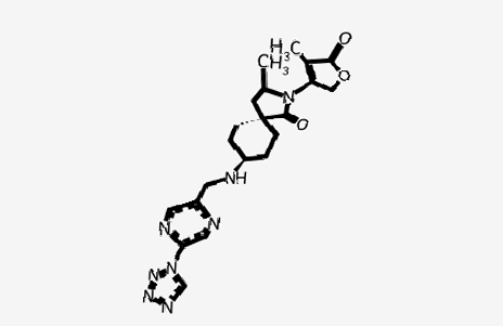 CC1=C(N2C(=O)[C@]3(CC[C@H](NCc4cnc(-n5cnnn5)cn4)CC3)CC2C)COC1=O